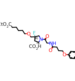 CCOC(=O)CCCCCOC[C@@]1(F)C[C@@H](C(=O)O)N(C(=O)CNC(=O)CCCOc2ccccc2)C1